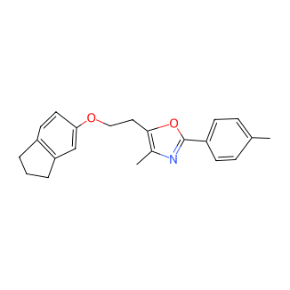 Cc1ccc(-c2nc(C)c(CCOc3ccc4c(c3)CCC4)o2)cc1